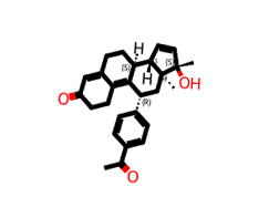 CC(=O)c1ccc([C@H]2C[C@@]3(C)[C@@H](C=C[C@]3(C)O)[C@@H]3CCC4=CC(=O)CCC4=C32)cc1